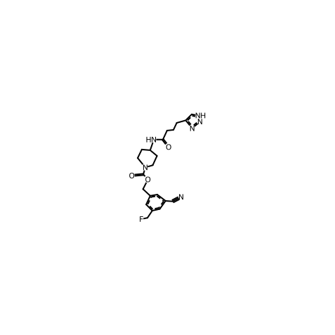 N#Cc1cc(CF)cc(COC(=O)N2CCC(NC(=O)CCCc3c[nH]nn3)CC2)c1